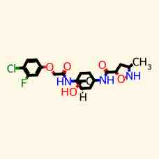 CC1CC(C(=O)NC23CCC(NC(=O)COc4ccc(Cl)c(F)c4)(CC2)[C@H](O)C3)ON1